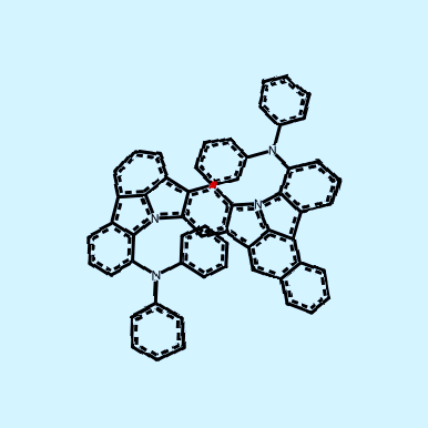 c1ccc(N(c2ccccc2)c2cccc3c4cccc5c6nc7c(cc6n(c23)c45)c2cc3ccccc3c3c4cccc(N(c5ccccc5)c5ccccc5)c4n7c23)cc1